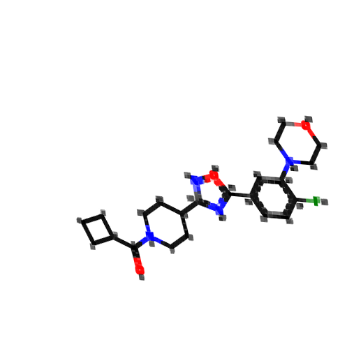 O=C(C1CCC1)N1CCC(c2noc(-c3ccc(F)c(N4CCOCC4)c3)n2)CC1